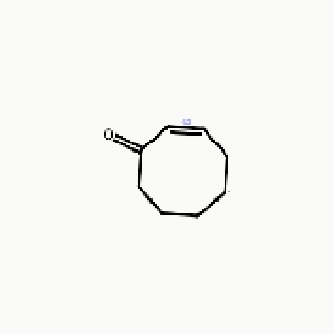 O=C1/C=C\C[CH]CCC1